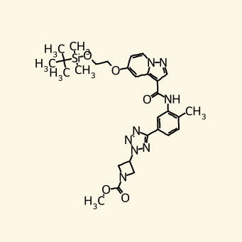 COC(=O)N1CC(n2nnc(-c3ccc(C)c(NC(=O)c4cnn5ccc(OCCO[Si](C)(C)C(C)(C)C)cc45)c3)n2)C1